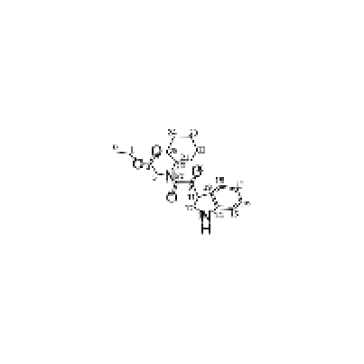 CCOC(=O)CN(C(=O)C(=O)C1CNc2ccccc21)C1CCCCC1